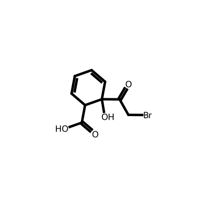 O=C(O)C1C=CC=CC1(O)C(=O)CBr